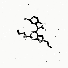 C=CCNc1nc(C2C(=O)Nc3ccc(Br)cc32)c2cn(CCC)nc2n1